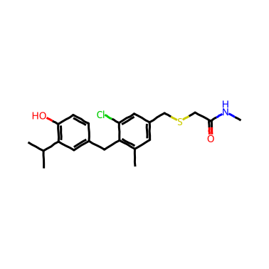 CNC(=O)CSCc1cc(C)c(Cc2ccc(O)c(C(C)C)c2)c(Cl)c1